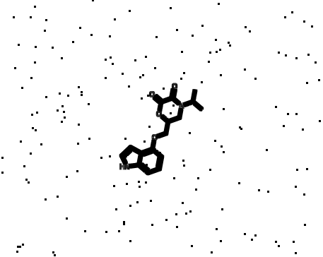 CC(C)N1CC(COc2cccc3[nH]ccc23)OC(=O)C1=O